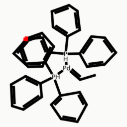 C[CH]=[Pd]([PH](c1ccccc1)(c1ccccc1)c1ccccc1)[PH](c1ccccc1)(c1ccccc1)c1ccccc1